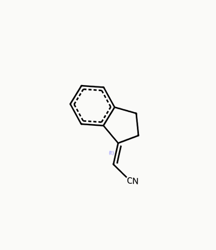 N#C/C=C1\CCc2ccccc21